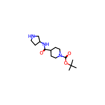 CC(C)(C)OC(=O)N1CCC(C(=O)NC2CCNC2)CC1